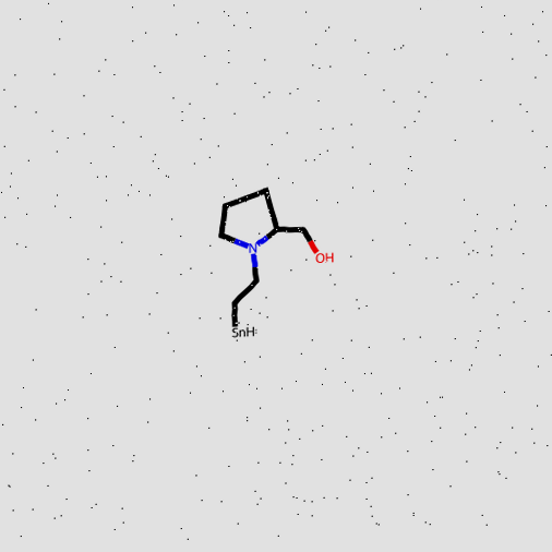 OCC1CCCN1C[CH2][SnH]